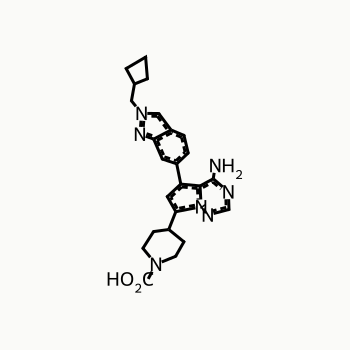 Nc1ncnn2c(C3CCN(C(=O)O)CC3)cc(-c3ccc4cn(CC5CCC5)nc4c3)c12